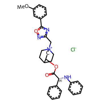 COc1cccc(-c2nc(C[N+]34CCC(CC3)C(OC(=O)[C@H](Nc3ccccc3)c3ccccc3)C4)no2)c1.[Cl-]